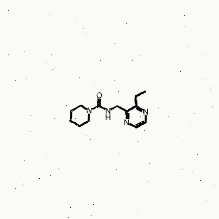 CCc1nccnc1CNC(=O)N1CCCCC1